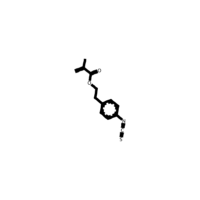 C=C(C)C(=O)OCCc1ccc(N=C=S)cc1